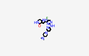 CN(C)C1CCN(c2ccc(Nc3ncc(F)c(-c4cc5c([nH]4)CCNC5=O)n3)nc2)CC1